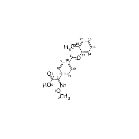 CON=C(C(=O)O)c1ccc(COc2ccccc2C)cc1